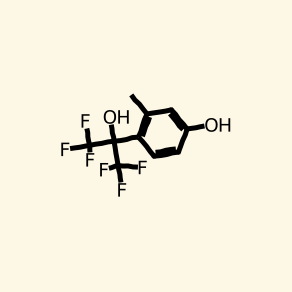 Cc1cc(O)ccc1C(O)(C(F)(F)F)C(F)(F)F